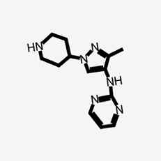 Cc1nn(C2CCNCC2)cc1Nc1ncccn1